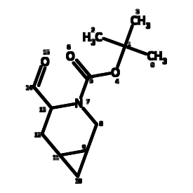 CC(C)(C)OC(=O)N1CC2CC2CC1C=O